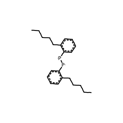 CCCCCc1ccccc1[P][P]c1ccccc1CCCCC